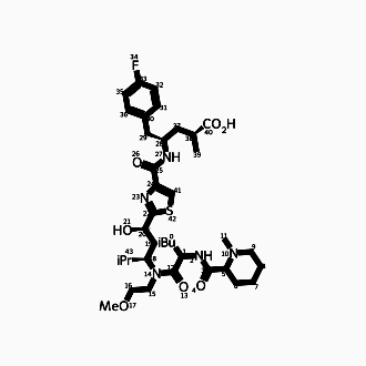 CCC(C)C(NC(=O)C1CCCCN1C)C(=O)N(CCOC)[C@H](C[C@@H](O)c1nc(C(=O)N[C@@H](Cc2ccc(F)cc2)C[C@H](C)C(=O)O)cs1)C(C)C